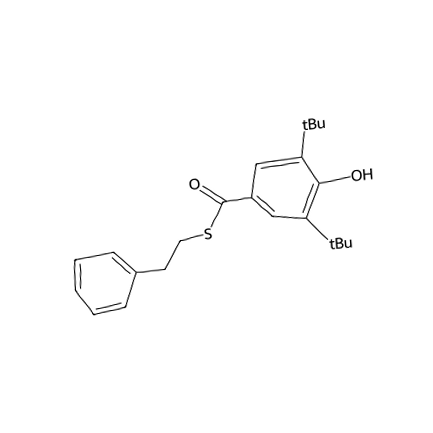 CC(C)(C)c1cc(C(=O)SCCc2ccccc2)cc(C(C)(C)C)c1O